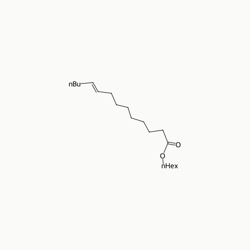 CCCCC=CCCCCCCCC(=O)OCCCCCC